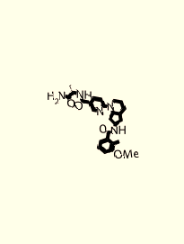 COc1cccc(C(=O)NC2CC3CCCN(c4ccc(C(=O)N[C@@H](C)C(N)=O)cn4)C3C2)c1C